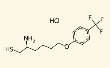 Cl.N[C@H](CS)CCCCOc1ccc(C(F)(F)F)cc1